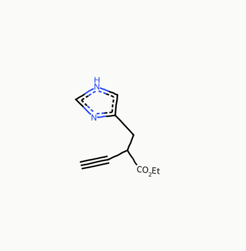 C#CC(Cc1c[nH]cn1)C(=O)OCC